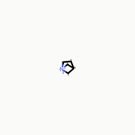 C1C[N+]2CC1C2